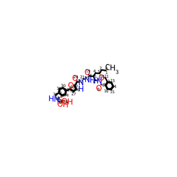 CCCCCC(CN(C=O)OCc1ccccc1)C(=O)NCNC(=O)c1ccc(-c2ccc3c(c2)S(O)(O)NC3)o1